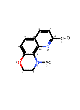 CC(=O)N1CCOc2ccc3ccc(C=O)nc3c21